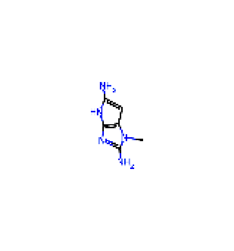 Cn1c(N)nc2[nH]c(N)cc21